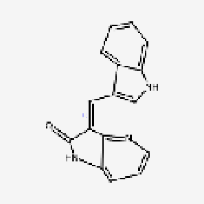 O=C1Nc2cccnc2/C1=C\c1c[nH]c2ccccc12